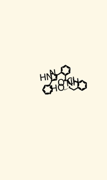 O=C(N[C@@H](CO)Cc1ccccc1Cl)c1ccccc1-c1cc(-c2ccccc2)[nH]n1